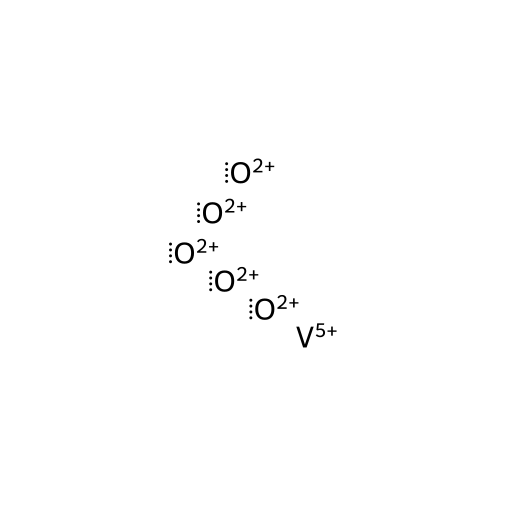 [O+2].[O+2].[O+2].[O+2].[O+2].[V+5]